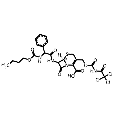 CCCCOC(=O)NC(C(=O)NC1C(=O)N2C(C(=O)O)=C(COC(=O)NC(=O)C(Cl)(Cl)Cl)CS[C@H]12)c1ccccc1